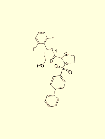 O=C(N[C@H](CCO)c1c(F)cccc1F)C1SCCN1S(=O)(=O)c1ccc(-c2ccccc2)cc1